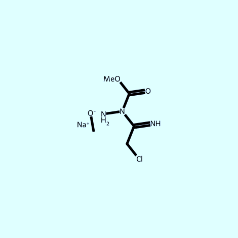 COC(=O)N(N)C(=N)CCl.C[O-].[Na+]